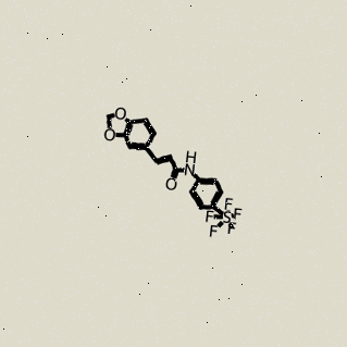 O=C(/C=C/c1ccc2c(c1)OCO2)Nc1ccc(S(F)(F)(F)(F)F)cc1